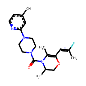 CC1=C(/C=C(\C)F)OCC(C)N1C(=O)N1CCN(c2cc(C#N)ccn2)CC1